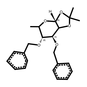 CC1O[C@@H]2OC(C)(C)OC2[C@@H](OCc2ccccc2)[C@@H]1OCc1ccccc1